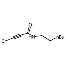 CCCCCCNC(=O)C#CCl